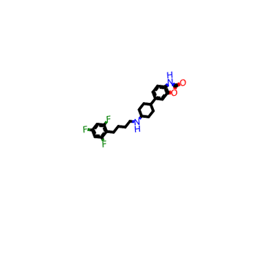 O=c1[nH]c2ccc(C3CCC(NCCCCc4c(F)cc(F)cc4F)CC3)cc2o1